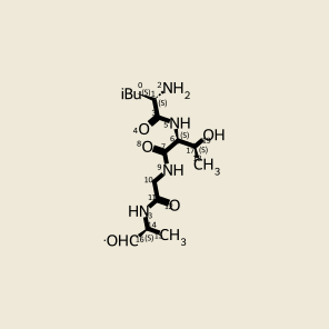 CC[C@H](C)[C@H](N)C(=O)N[C@H](C(=O)NCC(=O)N[C@@H](C)[C]=O)[C@H](C)O